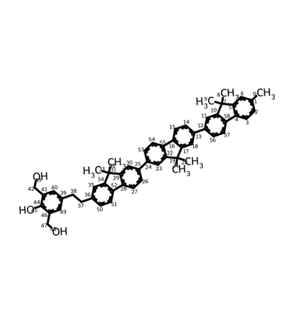 Cc1ccc2c(c1)C(C)(C)c1cc(-c3ccc4c(c3)C(C)(C)c3cc(-c5ccc6c(c5)C(C)(C)c5cc(CCc7cc(CO)c(O)c(CO)c7)ccc5-6)ccc3-4)ccc1-2